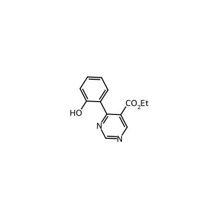 CCOC(=O)c1cncnc1-c1ccccc1O